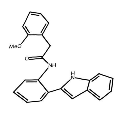 COc1ccccc1CC(=O)Nc1ccccc1-c1cc2ccccc2[nH]1